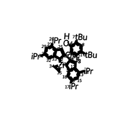 CC(C)(C)c1ccc(O)c(C(C)(C)C)c1.CC1=Cc2c(C(C)C)cc(C(C)C)cc2[CH]1[Zr]1([CH]2C(C)=Cc3c(C(C)C)cc(C(C)C)cc32)[CH2][CH2]1